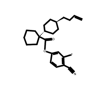 C=CCC[C@H]1CC[C@H](C2(C(=O)Oc3ccc(C#N)c(F)c3)CCCCC2)CC1